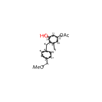 COCc1ccc(Cc2c(C)cc(OC(C)=O)cc2O)cc1